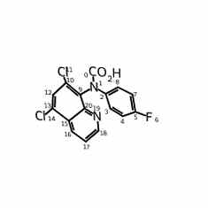 O=C(O)N(c1ccc(F)cc1)c1c(Cl)cc(Cl)c2cccnc12